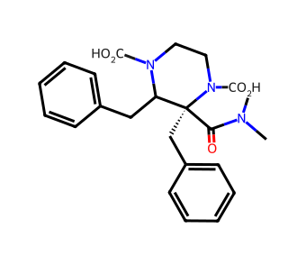 CN(C)C(=O)[C@@]1(Cc2ccccc2)C(Cc2ccccc2)N(C(=O)O)CCN1C(=O)O